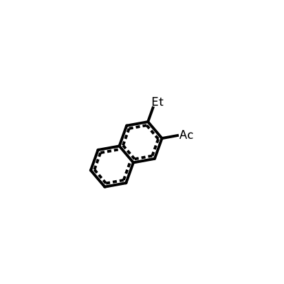 CCc1cc2ccccc2cc1C(C)=O